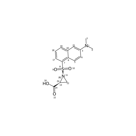 CN(C)c1ccc2c(S(=O)(=O)[N@@]3C[C@H]3C(=O)O)cccc2c1